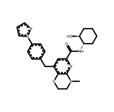 CN1CCOc2c(Cc3ccc(-n4cccn4)cc3)cc(C(=O)N[C@H]3CCCC[C@@H]3O)nc21